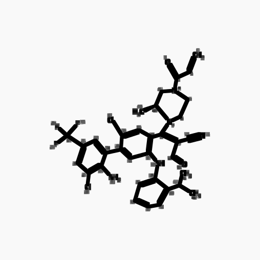 C=CC(=O)N1CCN(/C(=C(\C#N)C=O)c2cc(Cl)c(-c3cc(C(F)(F)F)cc(Cl)c3N)cc2Nc2ccccc2C(C)C)[C@@H](C)C1